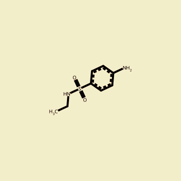 CCNS(=O)(=O)c1ccc(N)cc1